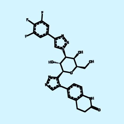 O=C1CCc2cc(-n3cnnc3[C@@H]3O[C@H](CO)[C@H](O)[C@H](n4cc(-c5cc(F)c(F)c(F)c5)nn4)[C@H]3O)ccc2N1